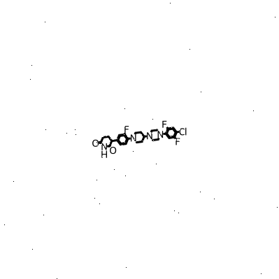 O=C1CCC(c2ccc(N3CCC(N4CCN(c5cc(F)c(Cl)cc5F)CC4)CC3)c(F)c2)C(=O)N1